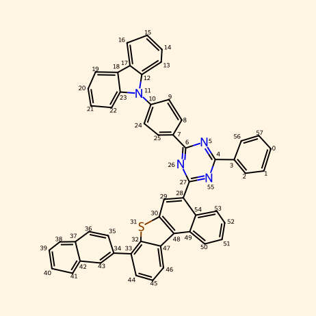 c1ccc(-c2nc(-c3ccc(-n4c5ccccc5c5ccccc54)cc3)nc(-c3cc4sc5c(-c6ccc7ccccc7c6)cccc5c4c4ccccc34)n2)cc1